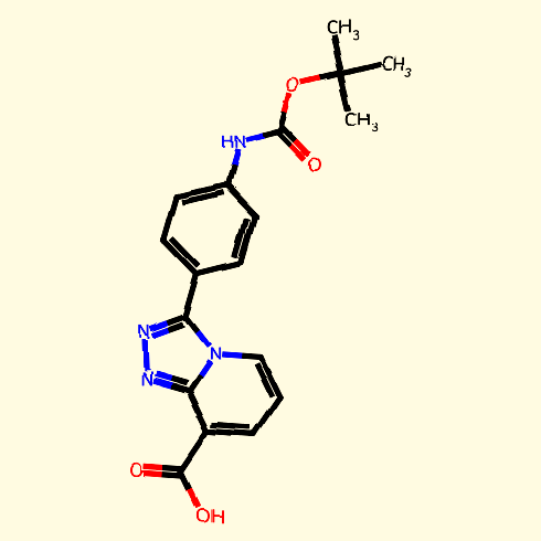 CC(C)(C)OC(=O)Nc1ccc(-c2nnc3c(C(=O)O)cccn23)cc1